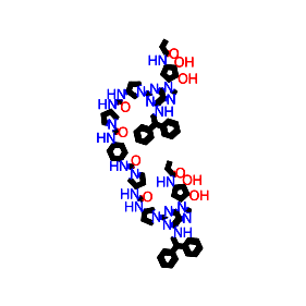 CCC(=O)N[C@H]1C[C@@H](n2cnc3c(NCC(c4ccccc4)c4ccccc4)nc(N4CCC(NC(=O)N[C@@H]5CCN(C(=O)NC6CCC(NC(=O)N7CC[C@H](NC(=O)NC8CCN(c9nc(NCC(c%10ccccc%10)c%10ccccc%10)c%10ncn([C@H]%11C[C@@H](NC(=O)CC)[C@@H](O)[C@H]%11O)c%10n9)C8)C7)CC6)C5)C4)nc32)[C@H](O)[C@@H]1O